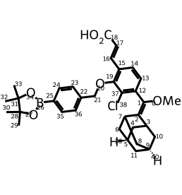 COC(=C1C2C[C@H]3CC1C[C@@H](C2)C3)c1ccc(/C=C/C(=O)O)c(OCc2ccc(B3OC(C)(C)C(C)(C)O3)cc2)c1Cl